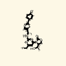 C[C@H](Nc1nc(CF)cc(N2C(=O)OCC2[C@@H](C)O)n1)c1cnc(-c2ccc(Cl)cc2)s1